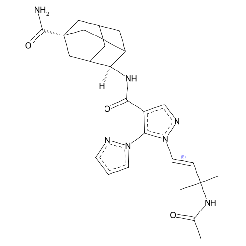 CC(=O)NC(C)(C)/C=C/n1ncc(C(=O)N[C@H]2C3CC4CC2C[C@](C(N)=O)(C4)C3)c1-n1cccn1